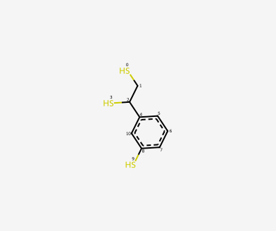 SCC(S)c1cccc(S)c1